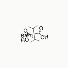 CC(C)C(C(=O)O)(C(=O)O)C(C)C.[BaH2]